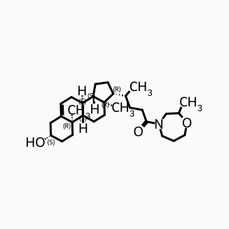 CC1CN(C(=O)CCC(C)[C@H]2CC[C@H]3[C@@H]4CC=C5C[C@@H](O)CC[C@]5(C)[C@H]4CC[C@]23C)CCCO1